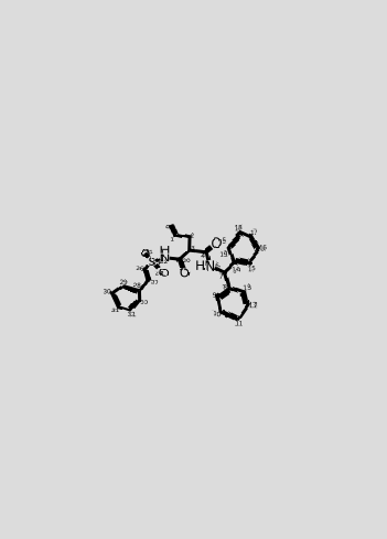 C=CCC(C(=O)NC(c1ccccc1)c1ccccc1)C(=O)NS(=O)(=O)C=Cc1ccccc1